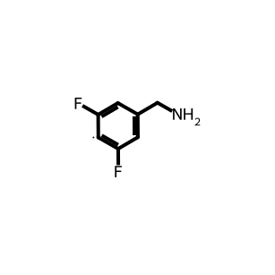 NCc1cc(F)[c]c(F)c1